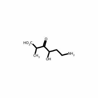 CC(C(=O)O)C(=O)C(O)CCN